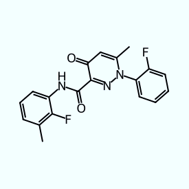 Cc1cccc(NC(=O)c2nn(-c3ccccc3F)c(C)cc2=O)c1F